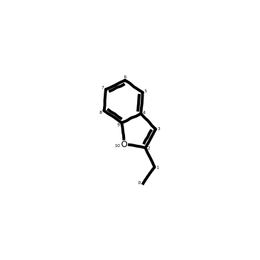 CCc1[c]c2ccccc2o1